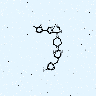 Cc1ccc(-c2cc3c(N4CCN(c5ncc(Cc6ccc(F)cc6)cn5)CC4)ncnn3c2)s1